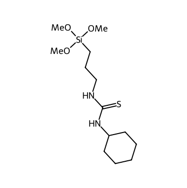 CO[Si](CCCNC(=S)NC1CCCCC1)(OC)OC